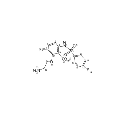 CCc1ccc(NS(=O)(=O)c2ccc(F)cc2)c(C(=O)O)c1OCCN